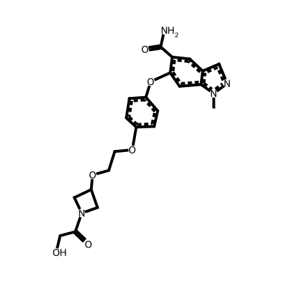 Cn1ncc2cc(C(N)=O)c(Oc3ccc(OCCOC4CN(C(=O)CO)C4)cc3)cc21